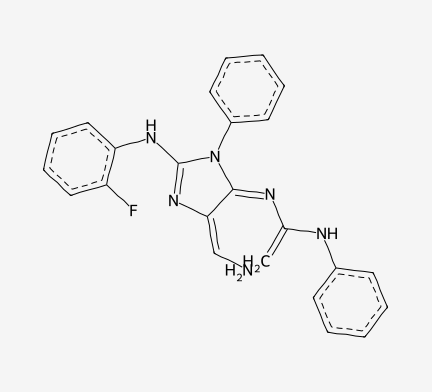 C=C(/N=C1\C(=C/N)N=C(Nc2ccccc2F)N1c1ccccc1)Nc1ccccc1